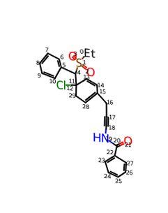 CCS(=O)(=O)C(c1ccccc1)C1(Cl)C=CC(CC#CNC(=O)c2ccccc2)=CC1